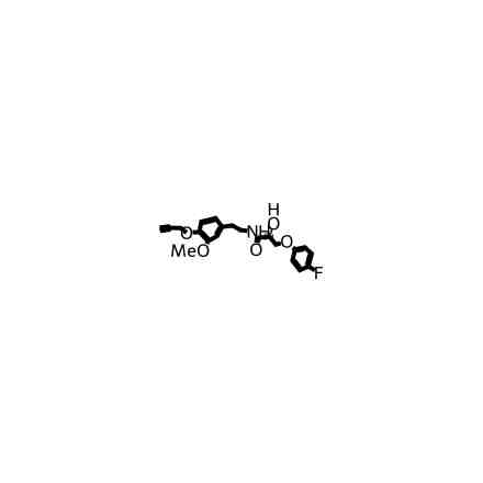 C#CCOc1ccc(CCNC(=O)[C@H](O)COc2ccc(F)cc2)cc1OC